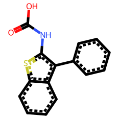 O=C(O)Nc1sc2ccccc2c1-c1ccccc1